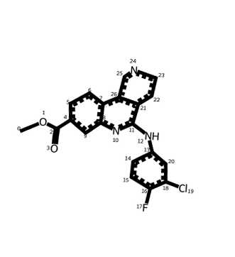 COC(=O)c1ccc2c(c1)nc(Nc1ccc(F)c(Cl)c1)c1ccncc12